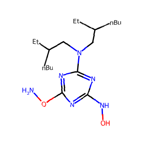 CCCCC(CC)CN(CC(CC)CCCC)c1nc(NO)nc(ON)n1